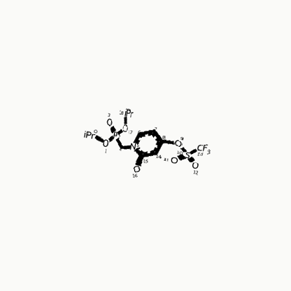 CC(C)OP(=O)(Cn1ccc(OS(=O)(=O)C(F)(F)F)cc1=O)OC(C)C